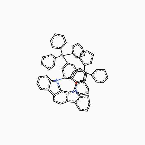 c1ccc(-n2c3ccccc3c3ccc4c5ccccc5n(-c5cc([Si](c6ccccc6)(c6ccccc6)c6ccccc6)cc([Si](c6ccccc6)(c6ccccc6)c6ccccc6)c5)c4c32)cc1